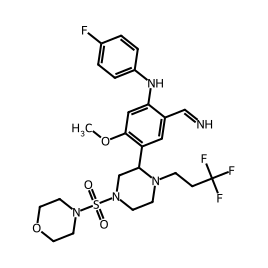 COc1cc(Nc2ccc(F)cc2)c(C=N)cc1C1CN(S(=O)(=O)N2CCOCC2)CCN1CCC(F)(F)F